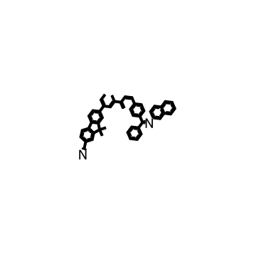 C=C(/C=C\c1ccc(/C(=N\c2ccc3ccccc3c2)c2ccccc2)cc1)/C(C)=C/C(=C\C)c1ccc2c(c1)C(C)(C)c1cc(C#N)ccc1-2